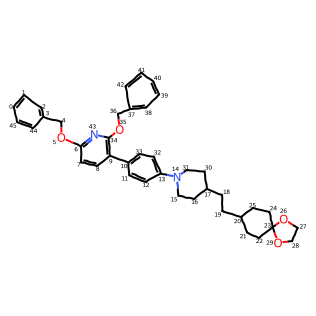 c1ccc(COc2ccc(-c3ccc(N4CCC(CCC5CCC6(CC5)OCCO6)CC4)cc3)c(OCc3ccccc3)n2)cc1